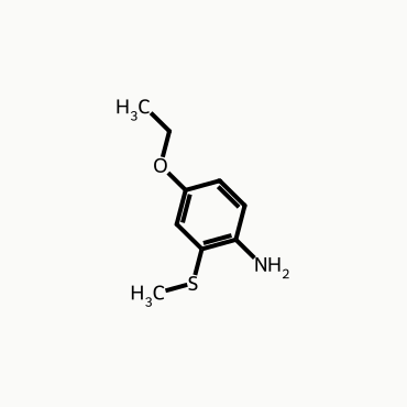 CCOc1ccc(N)c(SC)c1